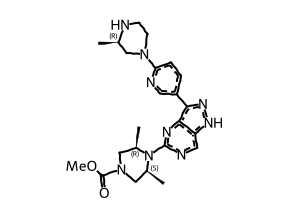 COC(=O)N1C[C@@H](C)N(c2ncc3[nH]nc(-c4ccc(N5CCN[C@H](C)C5)nc4)c3n2)[C@@H](C)C1